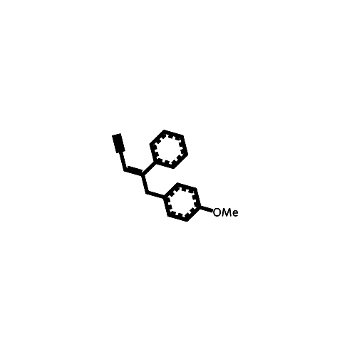 C#CC=C(Cc1ccc(OC)cc1)c1ccccc1